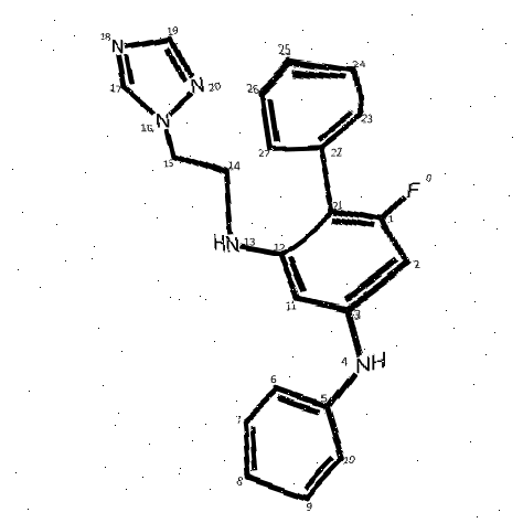 Fc1cc(Nc2ccccc2)cc(NCCn2cncn2)c1-c1ccccc1